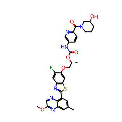 COc1cnc2c(-c3nc4cc(F)c(OC[C@@H](C)OC(=O)Nc5ccc(C(=O)N6CCC[C@H](O)C6)nc5)cc4s3)cc(C)cc2n1